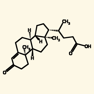 CC(CCC(=O)O)[C@H]1CC[C@H]2[C@@H]3CCC4=CC(=O)CC[C@]4(C)[C@H]3CC[C@]12C